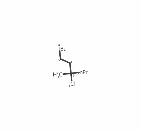 CCCC(C)(Cl)CCC(C)(C)C